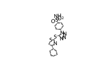 NS(=O)(=O)c1ccc(-n2nnnc2Sc2nc(-c3ccccc3)cs2)cc1